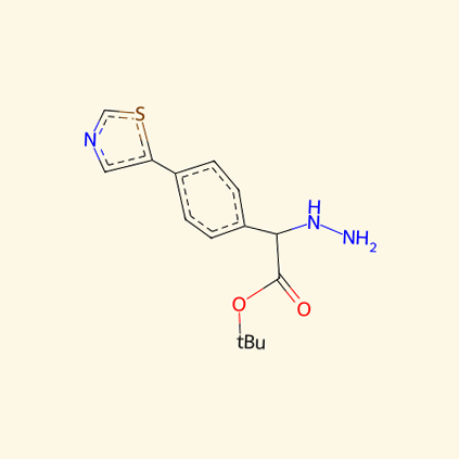 CC(C)(C)OC(=O)C(NN)c1ccc(-c2cncs2)cc1